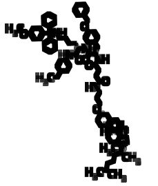 CCc1ccc(NC(=O)[C@H](CCCCNC(c2ccccc2)(c2ccccc2)c2ccc(OC)cc2)NC(=O)[C@H](Cc2ccc(OCc3ccccc3)cc2)NC(=O)CCC(=O)NCCCO[C@H]2CC[C@@]3(C)C(=CC[C@H]4[C@@H]5CC[C@H]([C@H](C)CCCC(C)C)[C@@]5(C)CC[C@@H]43)C2)cc1